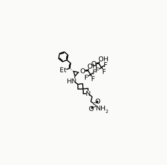 CC/C(=C\c1ccccc1)[C@@H]1C[C@H]1NC1CC2(C1)CN(CCS(N)(=O)=O)C2.O=C(O)C(F)(F)F.O=C(O)C(F)(F)F